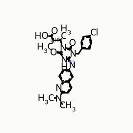 C[C@@H](C(=O)O)[C@H](C)n1c(=O)[nH]/c(=N\c2ccc3nc(N(C)C)ccc3c2)n(Cc2ccc(Cl)cc2)c1=O